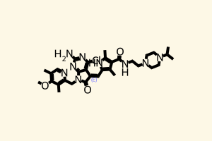 COc1c(C)cnc(CN2C(=O)/C(=C/c3[nH]c(C)c(C(=O)NCCN4CCN(C(C)C)CC4)c3C)c3c(Cl)nc(N)nc32)c1C